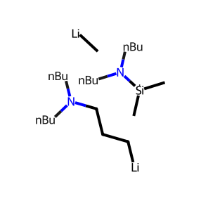 CCCCN(CCCC)[Si](C)C.[Li][CH2]CCN(CCCC)CCCC.[Li][CH3]